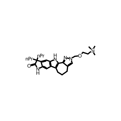 CCCC1(CCC)C(=O)Nc2cc3c4c([nH]c3cc21)-c1nn(COCC[Si](C)(C)C)cc1CCC4